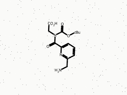 CC(C)(C)OC(=O)N(CC(=O)O)C(=O)c1cccc(CN)n1